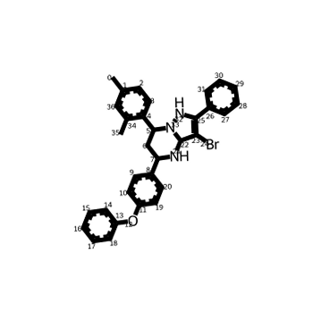 Cc1ccc(C2CC(c3ccc(Oc4ccccc4)cc3)NC3C(Br)=C(c4ccccc4)NN32)c(C)c1